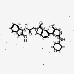 O=C(CN1Cc2ccc(-c3nc(NC4CCOCC4)ncc3Cl)cc2C1=O)N[C@@H]1c2ccccc2C[C@@H]1O